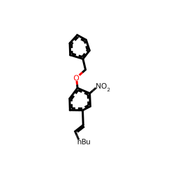 CCCCC=Cc1ccc(OCc2ccccc2)c([N+](=O)[O-])c1